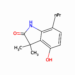 CCCc1ccc(O)c2c1NC(=O)C2(C)C